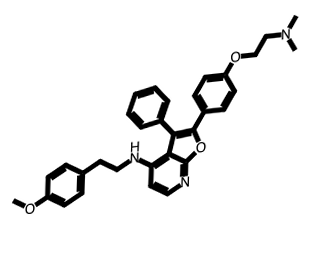 COc1ccc(CCNc2ccnc3oc(-c4ccc(OCCN(C)C)cc4)c(-c4ccccc4)c23)cc1